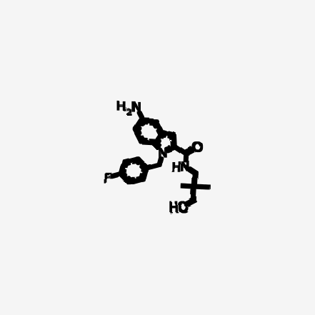 CC(C)(CO)CNC(=O)c1cc2cc(N)ccc2n1Cc1ccc(F)cc1